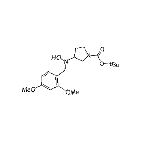 COc1ccc(CN(O)[C@H]2CCN(C(=O)OC(C)(C)C)C2)c(OC)c1